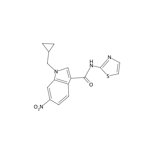 O=C(Nc1nccs1)c1cn(CC2CC2)c2cc([N+](=O)[O-])ccc12